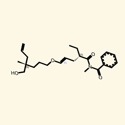 C=CC[C@@](C)(CO)CCCO/C=C/C[C@H](CC)C(=O)N(C)C(=O)c1ccccc1